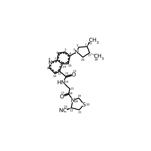 C[C@@H]1CN(c2ccc3nccc(C(=O)NCC(=O)N4CSC[C@H]4C#N)c3c2)C[C@H]1C